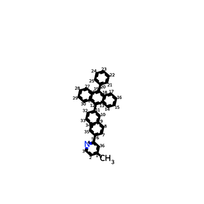 Cc1ccnc(-c2ccc3cc(-c4c5ccccc5c(-c5ccccc5)c5ccccc45)ccc3c2)c1